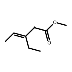 CC=C([CH]C(=O)OC)CC